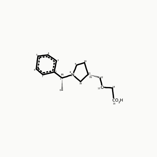 C[C@H](c1ccccc1)N1CC[C@H](COCC(=O)O)C1